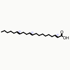 CCCCC/C=C/CC/C=C/CCCCCC/C=C/C(=O)O